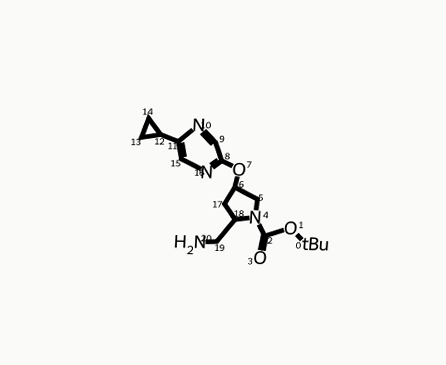 CC(C)(C)OC(=O)N1CC(Oc2cnc(C3CC3)cn2)CC1CN